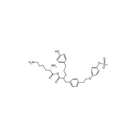 CS(=O)(=O)Oc1ccc(OCCc2ccc(CC(SCCc3ccc(O)cc3)C(=O)OC(=O)[C@@H](N)CCCCN)cc2)cc1